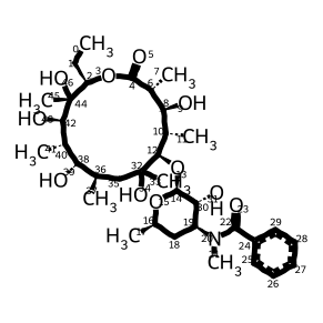 CC[C@H]1OC(=O)[C@H](C)[C@@H](O)[C@H](C)[C@@H](O[C@@H]2O[C@H](C)C[C@H](N(C)C(=O)c3ccccc3)[C@H]2O)C(C)(O)C[C@@H](C)[C@H](O)[C@H](C)[C@@H](O)[C@]1(C)O